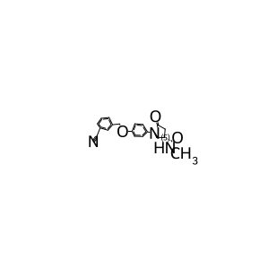 CNC(=O)[C@H]1CC(=O)N(c2ccc(OCc3cccc(C#N)c3)cc2)C1